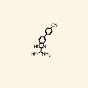 CCC[C@H](N)c1nc2cc(-c3ccc(C#N)cc3)ccc2[nH]1